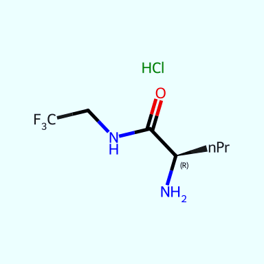 CCC[C@@H](N)C(=O)NCC(F)(F)F.Cl